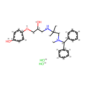 CN(CC(C)(C)NCC(O)COc1ccc(O)cc1)C(c1ccccc1)c1ccccc1.Cl.Cl